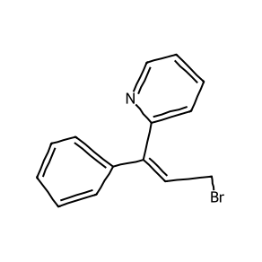 BrCC=C(c1ccccc1)c1ccccn1